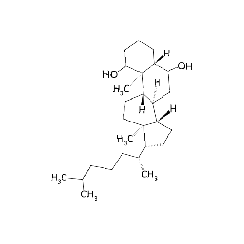 CC(C)CCC[C@@H](C)[C@H]1CC[C@H]2[C@@H]3CC(O)[C@H]4CCCC(O)[C@]4(C)[C@H]3CC[C@]12C